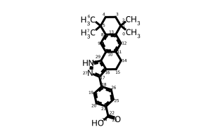 CC1(C)CCC(C)(C)c2cc3c(cc21)CCc1c(-c2ccc(C(=O)O)cc2)n[nH]c1-3